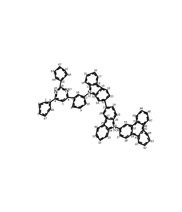 c1ccc(-c2cc(-c3cccc(-n4c5ccccc5c5ccc(-c6ccc7c(c6)c6ccccc6n7-c6ccc7c8ccccc8c8ccccc8c7c6)cc54)c3)nc(-c3ccccc3)n2)cc1